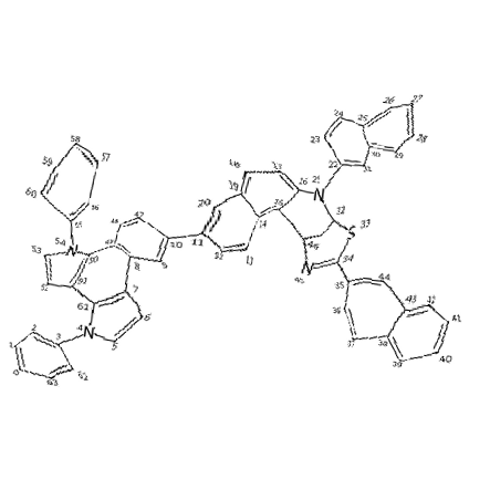 c1ccc(-n2ccc3c4cc(-c5ccc6c7c(ccc6c5)N(c5ccc6ccccc6c5)C5SC(c6ccc8ccccc8c6)=NC75)ccc4c4c(ccn4-c4ccccc4)c32)cc1